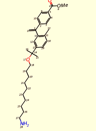 C=C(c1ccc(C(=O)OC)cc1)c1cc(C(C)(C)OCCCCCCCCCCN)ccc1C